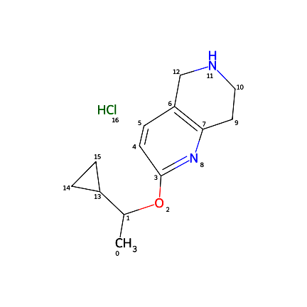 CC(Oc1ccc2c(n1)CCNC2)C1CC1.Cl